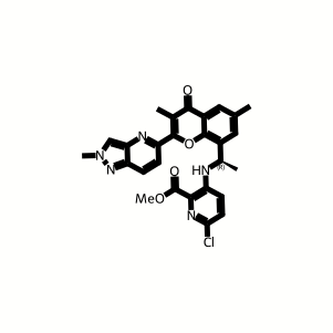 COC(=O)c1nc(Cl)ccc1N[C@H](C)c1cc(C)cc2c(=O)c(C)c(-c3ccc4nn(C)cc4n3)oc12